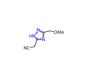 COCc1n[nH]c(CC#N)n1